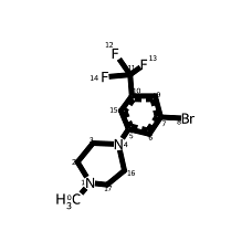 CN1CCN(c2cc(Br)cc(C(F)(F)F)c2)CC1